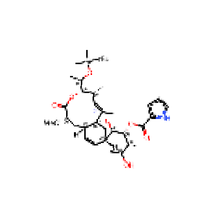 CO[C@H]1C[C@H]2C=C[C@@H]3C[C@]2(O[C@H]3[C@H](OC(=O)c2ccc[nH]2)[C@H](C)[C@H](C)O)/C(C)=C/[C@@H](C)[C@@H]([C@@H](C)O[Si](C)(C)C(C)(C)C)OC1=O